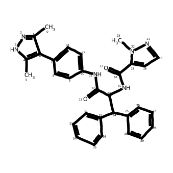 Cc1n[nH]c(C)c1-c1ccc(NC(=O)C(NC(=O)c2ccnn2C)C(c2ccccc2)c2ccccc2)cc1